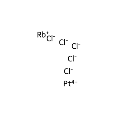 [Cl-].[Cl-].[Cl-].[Cl-].[Cl-].[Pt+4].[Rb+]